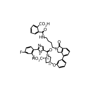 Cn1c(C(=O)N2C[C@@H](Oc3cccc(-c4cccc5c4CN(CCCCNC(=O)c4ccccc4C(=O)O)C5=O)c3)C[C@H]2C(=O)O)cnc1-c1ccc(F)cc1F